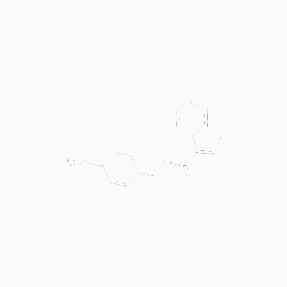 CSc1ccc(COC(=O)C2=CCc3ccccc32)cc1